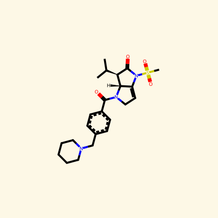 CC(C)[C@H]1C(=O)N(S(C)(=O)=O)C2=CCN(C(=O)c3ccc(CN4CCCCC4)cc3)[C@@H]21